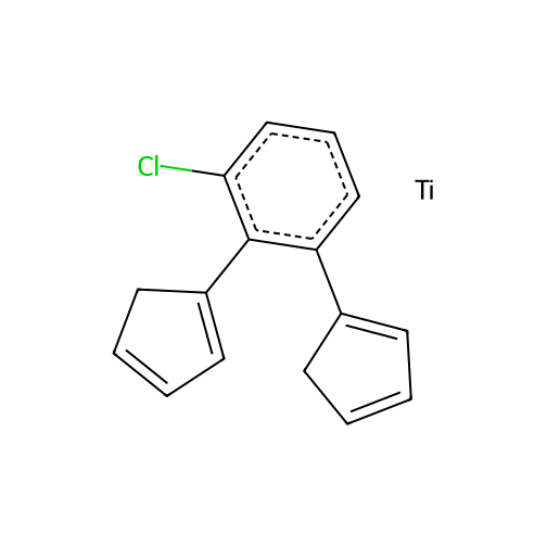 Clc1cccc(C2=CC=CC2)c1C1=CC=CC1.[Ti]